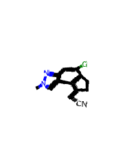 Cn1cc2c3c(c(Cl)cc2n1)CCC3=CC#N